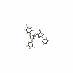 O=C1OC(c2ccccc2)=N/C1=C\c1cn(-c2ccccc2)nc1-c1ccc(F)cc1